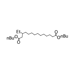 CCCCOC(=O)CCCCCCCCCCC(CC)CC(=O)OCCCC